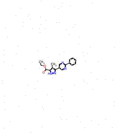 CCOC(=O)c1[nH]nc(-c2cnc(-c3ccccc3)nc2)c1C